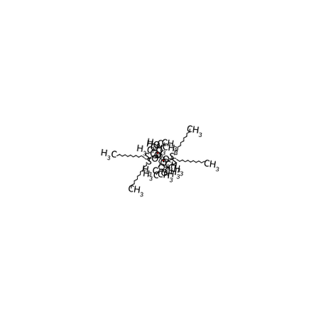 CCCCCCCCCCCCSC(COC(=O)C(Cc1cc(C(C)(C)C)c(O)c(C(C)(C)C)c1)(Cc1cc(C(C)(C)C)c(O)c(C(C)(C)C)c1)C(=O)OCC(SCCCCCCCCCCCC)SCCCCCCCCCCCC)SCCCCCCCCCCCC